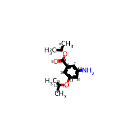 CC(C)OC(=O)c1cc(N)cc(OC(C)C)c1